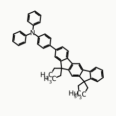 CCC1(CC)c2ccccc2-c2cc3c(cc21)C(CC)(CC)c1cc(-c2ccc(N(c4ccccc4)c4ccccc4)cc2)ccc1-3